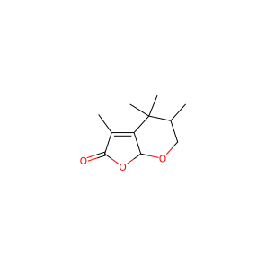 CC1=C2C(OCC(C)C2(C)C)OC1=O